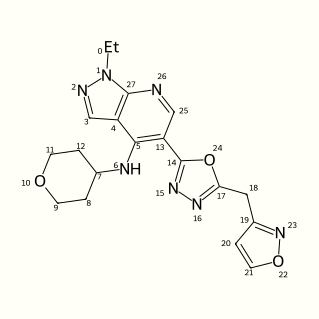 CCn1ncc2c(NC3CCOCC3)c(-c3nnc(Cc4ccon4)o3)cnc21